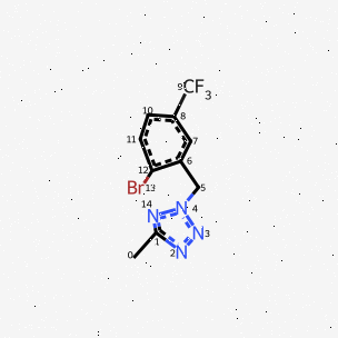 Cc1nnn(Cc2cc(C(F)(F)F)ccc2Br)n1